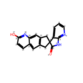 O=C1Nc2ncccc2C12Cc1cc3ccc(O)nc3cc1C2